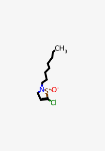 CCCCCCCCN1CC=C(Cl)[S+]1[O-]